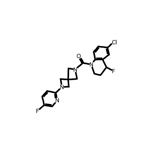 O=C(N1CC2(C1)CN(c1ccc(F)cn1)C2)N1CCC(F)c2cc(Cl)ccc21